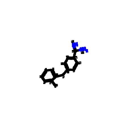 [CH2]c1ccccc1Cc1ccc(C(=N)N)cc1